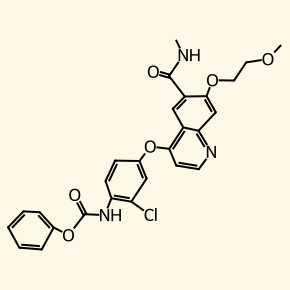 CNC(=O)c1cc2c(Oc3ccc(NC(=O)Oc4ccccc4)c(Cl)c3)ccnc2cc1OCCOC